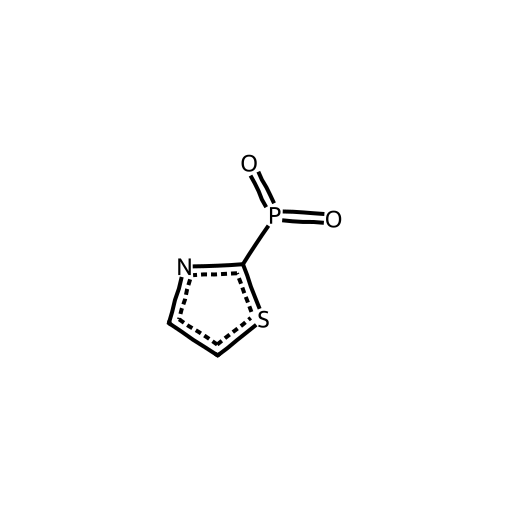 O=P(=O)c1nccs1